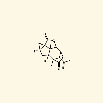 C=C(C)C1C2OC(=O)C1(C)C1(O)C[C@H]3C[C@]34C(=O)OC2C14C